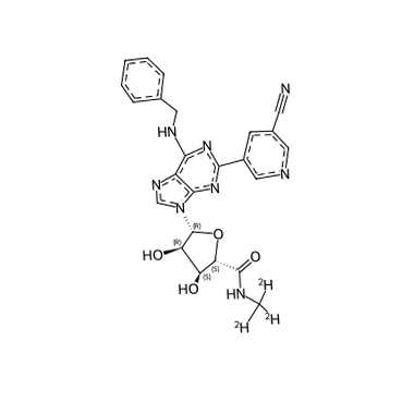 [2H]C([2H])([2H])NC(=O)[C@H]1O[C@@H](n2cnc3c(NCc4ccccc4)nc(-c4cncc(C#N)c4)nc32)[C@H](O)[C@@H]1O